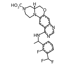 CC(Nc1ncnc2cc3c(cc12)N1CCN(C(=O)O)C[C@@H]1CO3)c1cccc(C(F)F)c1F